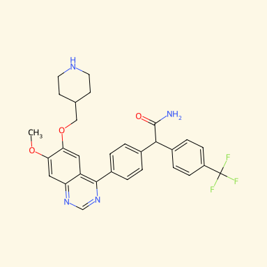 COc1cc2ncnc(-c3ccc(C(C(N)=O)c4ccc(C(F)(F)F)cc4)cc3)c2cc1OCC1CCNCC1